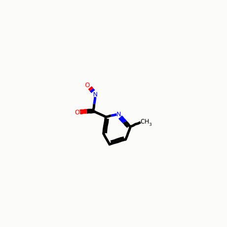 Cc1cccc(C(=O)N=O)n1